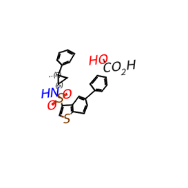 C[C@]1(c2ccccc2)C[C@@H]1NS(=O)(=O)c1csc2ccc(-c3ccccc3)cc12.O=C(O)O